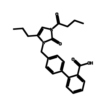 CCCC(=O)n1cc(CCC)n(Cc2ccc(-c3ccccc3C(=O)O)cc2)c1=O